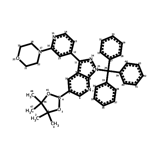 CC1(C)OB(c2cnc3c(c2)c(-c2ccnc(N4CCOCC4)c2)nn3C(c2ccccc2)(c2ccccc2)c2ccccc2)OC1(C)C